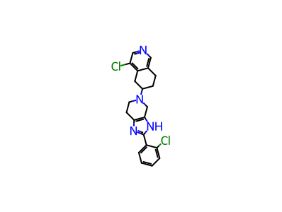 Clc1ccccc1-c1nc2c([nH]1)CN(C1CCc3cncc(Cl)c3C1)CC2